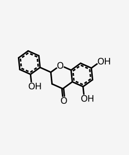 O=C1CC(c2ccccc2O)Oc2cc(O)cc(O)c21